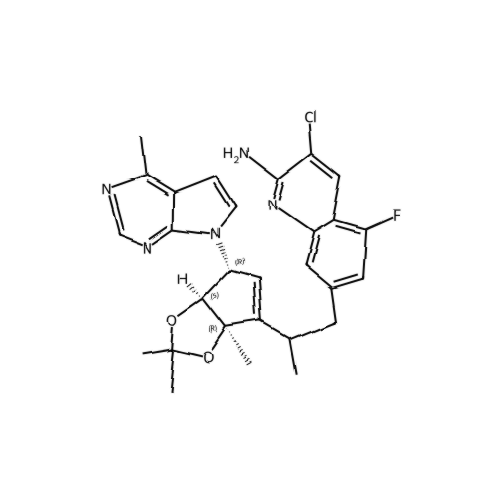 Cc1ncnc2c1ccn2[C@@H]1C=C(C(C)Cc2cc(F)c3cc(Cl)c(N)nc3c2)[C@@]2(C)OC(C)(C)O[C@@H]12